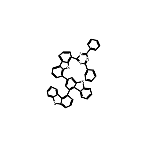 c1ccc(-c2nc(-c3ccccc3)nc(-c3cccc4c3sc3c(-c5cc(-c6cccc7sc8ccccc8c67)c6c(c5)sc5ccccc56)cccc34)n2)cc1